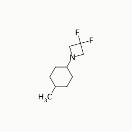 CC1CCC(N2CC(F)(F)C2)CC1